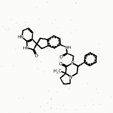 CC12CCCN1CC(c1ccccc1)N(CC(=O)Nc1ccc3c(c1)CC1(C3)C(=O)NC3=C1C=CCN3)C2=O